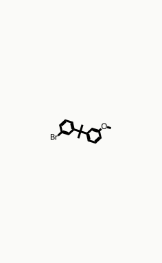 COc1cccc(C(C)(C)c2cccc(Br)c2)c1